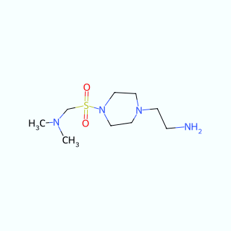 CN(C)CS(=O)(=O)N1CCN(CCN)CC1